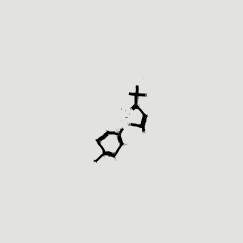 Oc1cc(C(F)(F)F)nn1-c1ccc(Cl)cc1